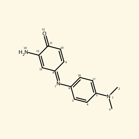 CN(C)c1ccc(N=C2C=CC(=O)C(N)=C2)cc1